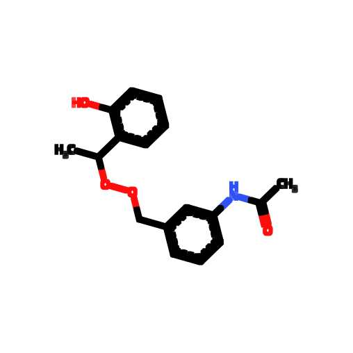 CC(=O)Nc1cccc(COOC(C)c2ccccc2O)c1